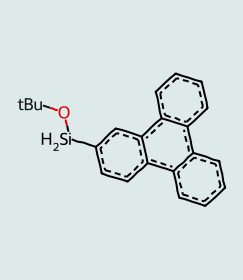 CC(C)(C)O[SiH2]c1ccc2c3ccccc3c3ccccc3c2c1